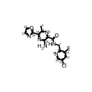 Cc1nc(C(=O)NCc2ncc(Cl)cc2F)c(N)nc1-c1ncco1